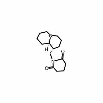 O=C1CCCC(=O)N1C[C@H]1CCCN2CCCC[C@H]12